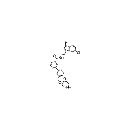 O=C(NCCc1c[nH]c2ccc(Cl)cc12)c1cccc(-c2ccc3c(c2)COC2(CCNCC2)O3)c1